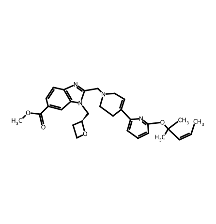 C/C=C\C(C)(C)Oc1cccc(C2=CCN(Cc3nc4ccc(C(=O)OC)cc4n3C[C@@H]3CCO3)CC2)n1